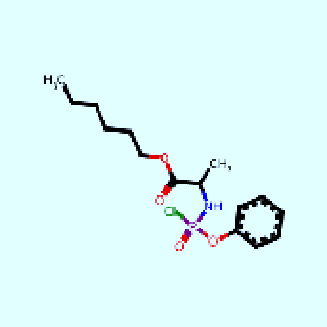 CCCCCCOC(=O)C(C)NP(=O)(Cl)Oc1ccccc1